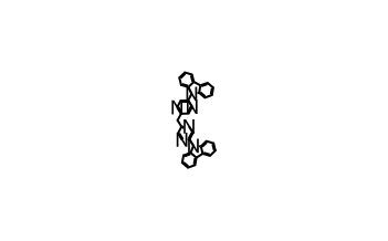 c1ccc2c(c1)c1ccccc1n2-c1cnc(Cc2cnc(-n3c4ccccc4c4ccccc43)cn2)cn1